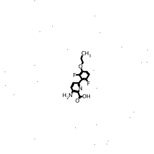 CCCOc1ccc(F)c(-c2ccc(N)c(C(=O)O)n2)c1F